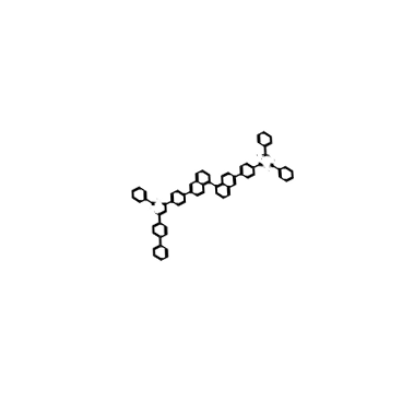 c1ccc(-c2ccc(-c3cc(-c4ccc(-c5ccc6c(-c7cccc8cc(-c9ccc(-c%10nc(-c%11ccccc%11)nc(-c%11ccccc%11)n%10)cc9)ccc78)cccc6c5)cc4)nc(-c4ccccc4)n3)cc2)cc1